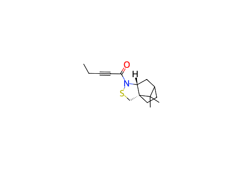 CCC#CC(=O)N1SC[C@]23CCC(C[C@@H]12)C3(C)C